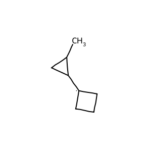 CC1CC1[C]1CCC1